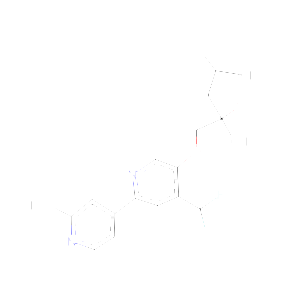 Cc1cc(-c2cc(C(F)F)c(OCC(C)(O)CC(C)C)cn2)ccn1